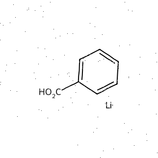 O=C(O)c1ccccc1.[Li]